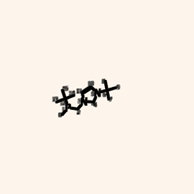 CP(CN1[C]N(C(C)(C)C)C=C1)C(C)(C)C